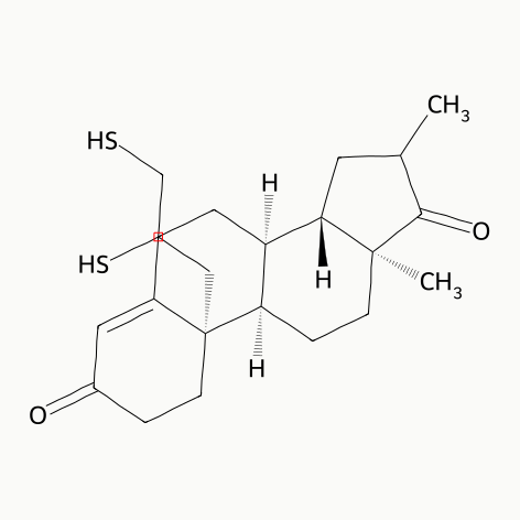 CC1C[C@H]2[C@@H]3CCC4=CC(=O)CC[C@]4(CC(S)CS)[C@@H]3CC[C@]2(C)C1=O